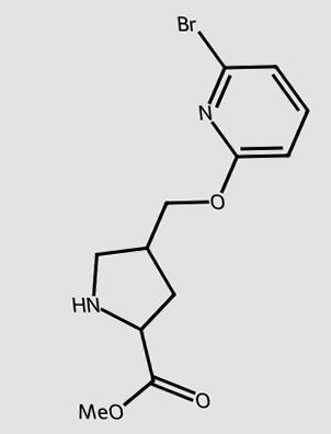 COC(=O)C1CC(COc2cccc(Br)n2)CN1